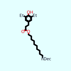 CCCCCCCCCCCCCCCCCCCCOC(=O)CCc1cc(CC)c(O)c(CC)c1